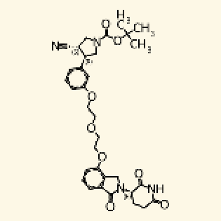 CC(C)(C)OC(=O)N1C[C@@H](C#N)[C@H](c2cccc(OCCOCCOc3cccc4c3CN([C@@H]3CCC(=O)NC3=O)C4=O)c2)C1